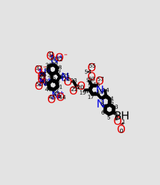 O=COBc1ccc2nc3c(cc2c1)Cn1c-3cc(COC(=O)CON=C2c3cc([N+](=O)[O-])cc([N+](=O)[O-])c3-c3c2cc([N+](=O)[O-])cc3[N+](=O)[O-])c(COC=O)c1=O